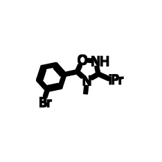 CC(C)C1NOC(c2cccc(Br)c2)N1C